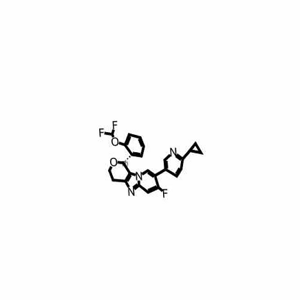 Fc1cc2nc3c(n2cc1-c1ccc(C2CC2)nc1)[C@@H](c1ccccc1OC(F)F)OCC3